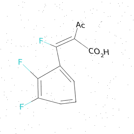 CC(=O)C(C(=O)O)=C(F)c1cccc(F)c1F